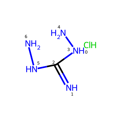 Cl.N=C(NN)NN